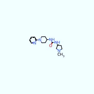 CN1CC[C@@H](NC(=O)NC2CCN(c3ccccn3)CC2)C1